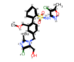 CCCCc1nc(Cl)c(CO)n1Cc1ccc(-c2ccccc2S(=O)(=O)Nc2noc(C)c2Cl)c(COCC)c1